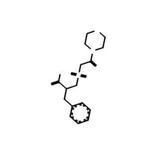 O=C(O)C(Cc1ccccc1)CS(=O)(=O)CC(=O)N1CCOCC1